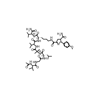 COc1ccc(N2N=C(C(=O)NCCCC[C@H](NC(=O)C(NC(=O)C(C)(C)NC(=O)[C@H](CC(C)C)NC(=O)CNC(=O)C(NC(C)=O)C(C)C)C(C)C)C(=O)NC(C(N)=O)C(C)C)CC2C(N)=O)cc1